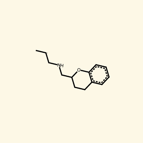 C[CH]CNCC1CCc2ccccc2O1